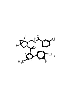 Cc1nc(C(=O)N2C[C@@H]3C[C@@H]3[C@H]2CNC(=O)c2cccc(Cl)c2)c(-c2ccc(C)c(F)c2)s1